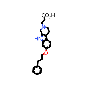 O=C(O)CCN1CCc2c([nH]c3cc(OCCCc4ccccc4)ccc23)C1